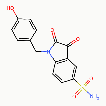 NS(=O)(=O)c1ccc2c(c1)C(=O)C(=O)N2Cc1ccc(O)cc1